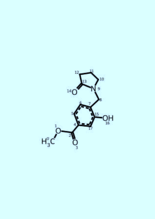 COC(=O)c1ccc(CN2CCCC2=O)c(O)c1